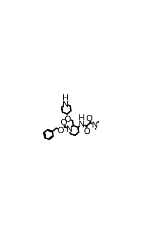 CN(C)C(=O)C(=O)NC1CCCN(C(=O)OCc2ccccc2)C1COC1CCNCC1